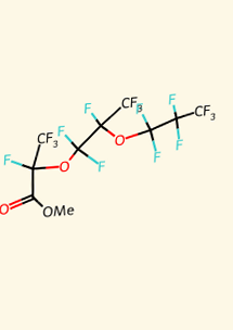 COC(=O)C(F)(OC(F)(F)C(F)(OC(F)(F)C(F)(F)C(F)(F)F)C(F)(F)F)C(F)(F)F